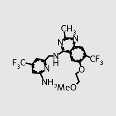 COCCOc1cc2c(NCc3cc(C(F)(F)F)cc(N)n3)nc(C)nc2cc1C(F)(F)F